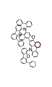 C1=CC(c2cccc3c2oc2c(N(c4ccccc4-c4ccccc4)c4cc5c(oc6cc(N(c7ccccc7-c7ccccc7)c7cccc8c7oc7c(-c9ccccc9)cccc78)c7ccccc7c65)c5ccccc45)cccc23)=CCC1